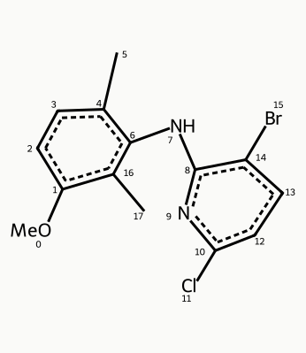 COc1ccc(C)c(Nc2nc(Cl)ccc2Br)c1C